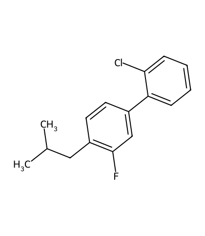 CC(C)Cc1ccc(-c2ccccc2Cl)cc1F